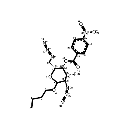 CCCCOC1O[C@H](CN=[N+]=[N-])[C@H](OC(=O)c2ccc([N+](=O)[O-])cc2)[C@H](F)[C@H]1N=[N+]=[N-]